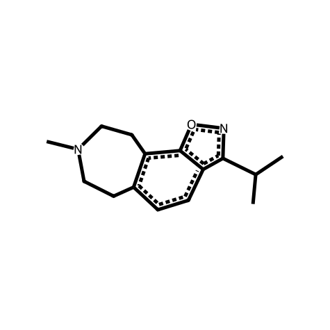 CC(C)c1noc2c3c(ccc12)CCN(C)CC3